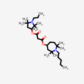 CCCCCN1C(C)(C)CCC(OC(=O)CC(=O)OC2CC(C)(C)N(CCC)C2(C)C)CC1(C)C